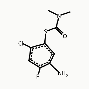 CN(C)C(=O)Sc1cc(N)c(F)cc1Cl